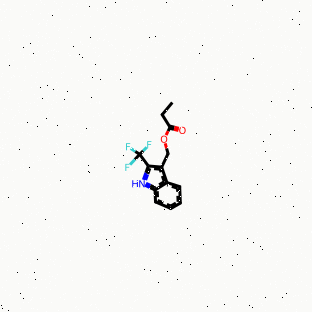 CCC(=O)OCc1c(C(F)(F)F)[nH]c2ccccc12